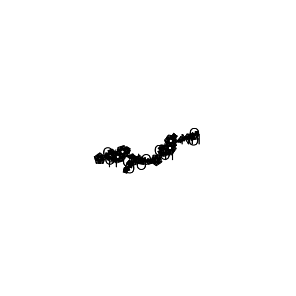 C=C1CCC2[C@]3(C)CO[C@@H](C4CCC(COC(=O)CN(CC[C@@H]5C(C)(C)CCC6[C@]7(C)CO[C@@H](C8CCCC8)O[C@@H]7CC[C@]65C)CC(=O)OCC)C4)O[C@@H]3CC[C@@]2(C)[C@@H]1CCNCC(=O)OC